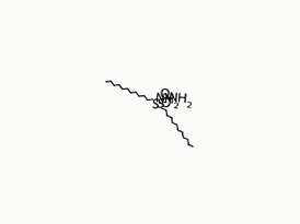 CCCCCCCCCCCCSS(N)(CCCCCCCCCCCC)OC(N)=O